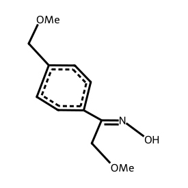 COC/C(=N\O)c1ccc(COC)cc1